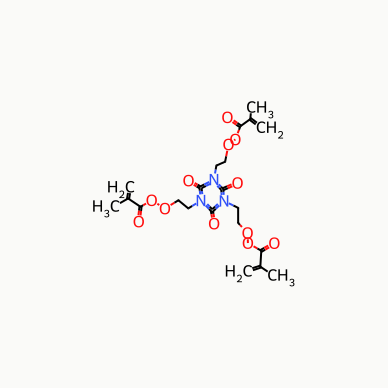 C=C(C)C(=O)OOCCn1c(=O)n(CCOOC(=O)C(=C)C)c(=O)n(CCOOC(=O)C(=C)C)c1=O